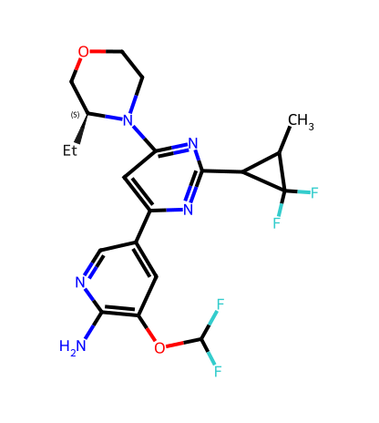 CC[C@H]1COCCN1c1cc(-c2cnc(N)c(OC(F)F)c2)nc(C2C(C)C2(F)F)n1